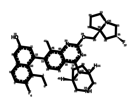 CCc1c(F)ccc2cc(O)cc(-c3ccc4c(N5[C@@H]6CC[C@H]5CNC6)nc(OC[C@@]56CCCN5C[C@H](F)C6)nc4c3C)c12